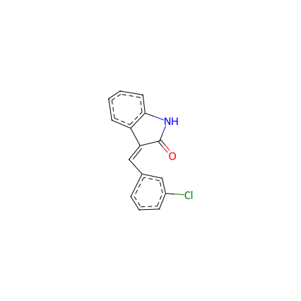 O=C1Nc2ccccc2C1=Cc1cccc(Cl)c1